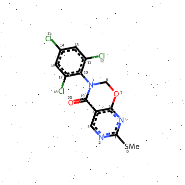 CSc1ncc2c(n1)OCN(c1c(Cl)cc(Cl)cc1Cl)C2=O